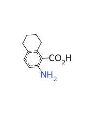 Nc1ccc2c(c1C(=O)O)CCCC2